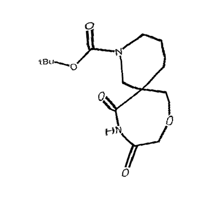 CC(C)(C)OC(=O)N1CCCC2(COCC(=O)NC2=O)C1